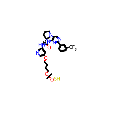 CC(C)(OS)OCCCCOc1cncc(NC(=O)N2c3nc(-c4cccc(C(F)(F)F)c4)ncc3N3CCC[C@H]2C3)c1